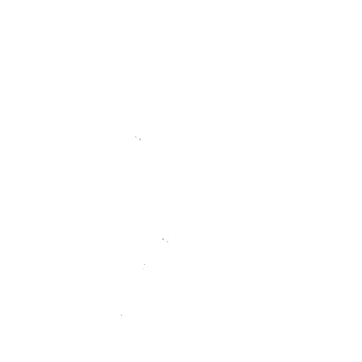 CC(C)(C)OC(=O)N1CCOCCOC2(CCN(Cc3ccccc3)C2)C1